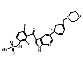 CCCS(=O)(=O)Nc1ccc(F)c(C(=O)c2c[nH]c3ncc([C@]4(C)C=CC=C(CN5CCOCC5)C4)cc23)c1F